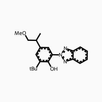 COCC(C)c1cc(-n2nc3ccccc3n2)c(O)c(C(C)(C)C)c1